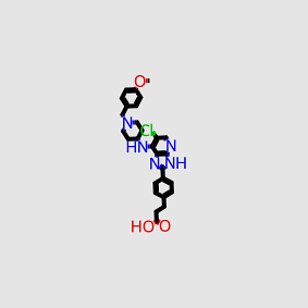 COc1ccc(CN2CCC(Nc3c(Cl)cnc4[nH]c(-c5ccc(CCC(=O)O)cc5)nc34)CC2)cc1